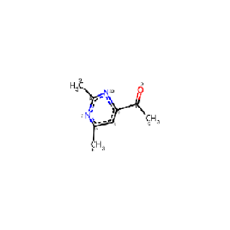 CC(=O)c1cc(C)nc(C)n1